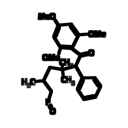 COc1cc(OC)c(C(=O)C(c2ccccc2)C(C)(C)CC(C)CP=O)c(OC)c1